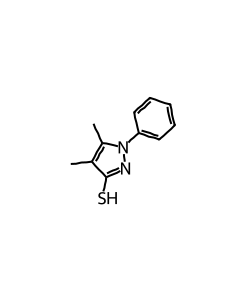 Cc1c(S)nn(-c2ccccc2)c1C